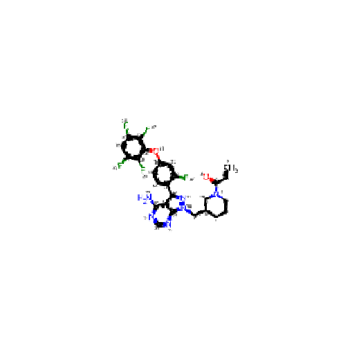 C=CC(=O)N1CCCC(Cn2nc(-c3ccc(Oc4c(F)c(F)cc(F)c4F)cc3F)c3c(N)ncnc32)C1